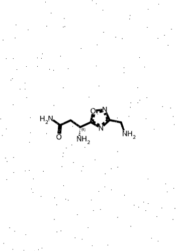 NCc1noc([C@H](N)CC(N)=O)n1